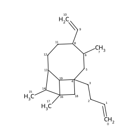 C=CCCC12CC(C)C(C=C)CCC3C(C)C(C)(C1)C32